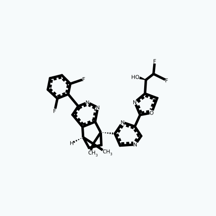 CC1(C)[C@H]2CC[C@]1(c1cncc(-c3nc([C@@H](O)C(F)F)co3)n1)c1nnc(-c3c(F)cccc3F)cc12